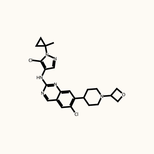 CC1(n2ncc(Nc3ncc4cc(Cl)c(C5CCN(C6COC6)CC5)cc4n3)c2Cl)CC1